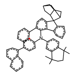 CC1(C)CCC(C)(C)c2cc(N(c3ccc(-c4cccc5ccccc45)cc3)c3c(-c4ccccc4)ccc4c3-c3ccccc3C43C4CC5CC(C4)C3C5)ccc21